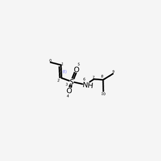 C/C=C/S(=O)(=O)NCC(C)C